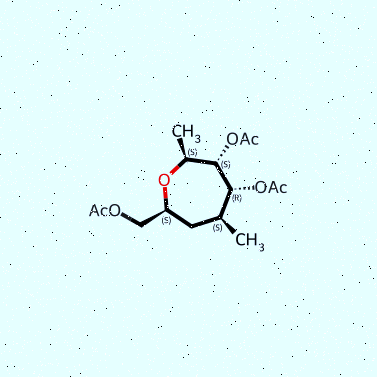 CC(=O)OC[C@@H]1C[C@H](C)[C@@H](OC(C)=O)[C@@H](OC(C)=O)[C@H](C)O1